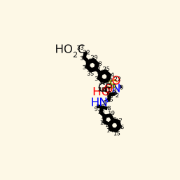 CN(C[C@H](O)CNC(C)(C)CC1Cc2ccccc2C1)S(=O)(=O)c1ccc(-c2ccc(CCC(=O)O)cc2)cc1C(F)(F)F